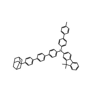 Cc1ccc(-c2ccc(N(c3ccc(-c4ccc(-c5ccc(C67CC8CC(CC(C8)C6)C7)cc5)cc4)cc3)c3ccc4c(c3)C(C)(C)c3ccccc3-4)cc2)cc1